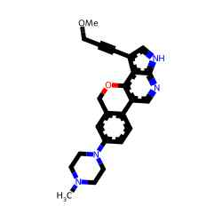 COCC#Cc1c[nH]c2ncc3c(c12)OCc1cc(N2CCN(C)CC2)ccc1-3